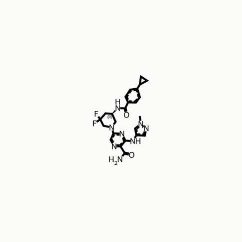 Cn1cc(Nc2nc(N3C[C@H](NC(=O)c4ccc(C5CC5)cc4)CC(F)(F)C3)cnc2C(N)=O)cn1